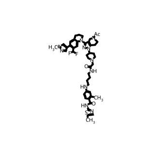 CC(=O)N1CCc2c(c(N3CCCc4cc(-c5cnn(C)c5)c(C(F)F)cc43)nn2C2CCN(CC(=O)NCCCCNc3ccc(C(=O)Nc4ncc(C)s4)c(C)c3)CC2)C1